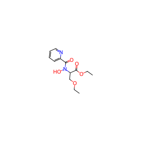 CCOCC(C(=O)OCC)N(O)C(=O)c1ccccn1